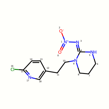 O=[N+]([O-])/N=C1/NCCCN1CCc1ccc(Cl)nc1